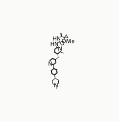 C=C(NC(=O)Nc1ccc(Cc2ccnc(-c3ccc(C4CCN(C)CC4)cc3)c2)c(C)n1)C1(OC)CC1